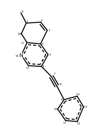 CC1C=Cc2cc(C#Cc3ccccc3)cnc2C1